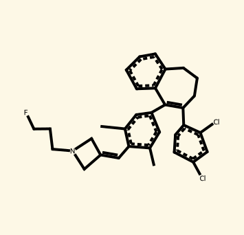 Cc1cc(C2=C(c3ccc(Cl)cc3Cl)CCCc3ccccc32)cc(C)c1C=C1CN(CCCF)C1